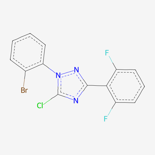 Fc1cccc(F)c1-c1nc(Cl)n(-c2ccccc2Br)n1